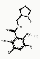 CCN1CCCC1CNC(=O)c1c(OC)c(Br)cc(Br)c1OC.Cl